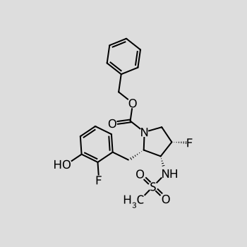 CS(=O)(=O)N[C@H]1[C@@H](F)CN(C(=O)OCc2ccccc2)[C@H]1Cc1cccc(O)c1F